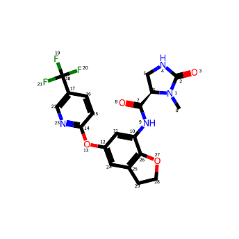 CN1C(=O)NC[C@@H]1C(=O)Nc1cc(Oc2ccc(C(F)(F)F)cn2)cc2c1OCC2